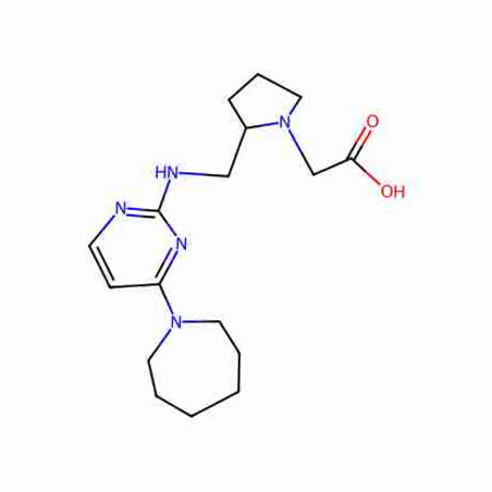 O=C(O)CN1CCCC1CNc1nccc(N2CCCCCC2)n1